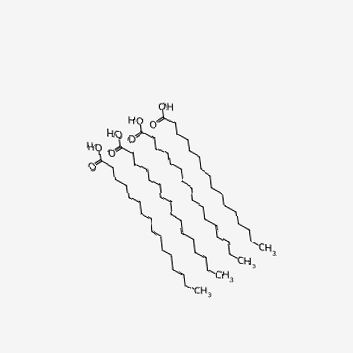 CCCCCCCCCCCCCCCC(=O)O.CCCCCCCCCCCCCCCC(=O)O.CCCCCCCCCCCCCCCC(=O)O.CCCCCCCCCCCCCCCC(=O)O